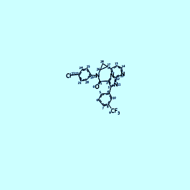 O=C(c1c(-c2cccc(C(F)(F)F)c2)nc2ncccn12)N(c1ccc(Cl)cc1)C1CC1